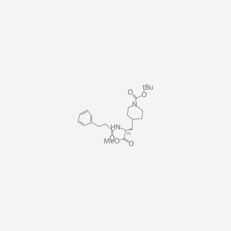 COC(=O)[C@H](CC1CCN(C(=O)OC(C)(C)C)CC1)NC(=O)CCc1ccccc1